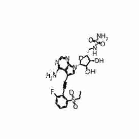 CCS(=O)(=O)c1cccc(F)c1C#Cc1cn([C@@H]2O[C@H](CNS(N)(=O)=O)[C@@H](O)[C@H]2O)c2ncnc(N)c12